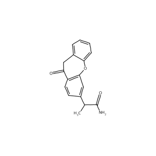 CC(C(N)=O)c1ccc2c(c1)Oc1ccccc1CC2=O